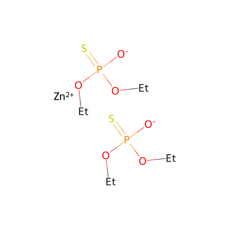 CCOP([O-])(=S)OCC.CCOP([O-])(=S)OCC.[Zn+2]